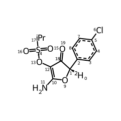 [2H][C@@]1(c2ccc(Cl)cc2)OC(N)=C(OS(=O)(=O)C(C)C)C1=O